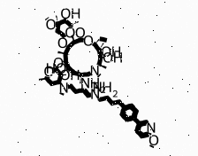 CC[C@H]1OC(=O)[C@H](C)[C@@H](O[C@H]2C[C@@](C)(OC)[C@@H](O)[C@H](C)O2)[C@H](C)[C@@H](O[C@@H]2O[C@H](C)C[C@H](N(C)CC/C(N)=C/N(N)CCCCc3ccc(-c4ccc(OC)nc4)cc3)[C@H]2O)[C@](C)(O)C[C@@H](C)CN(C)[C@H](C)[C@@H](O)[C@]1(C)O